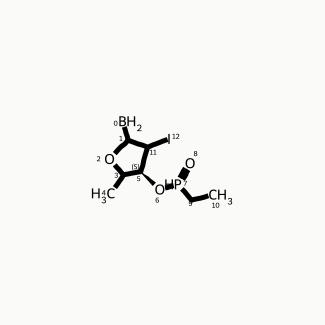 BC1OC(C)[C@H](O[PH](=O)CC)C1I